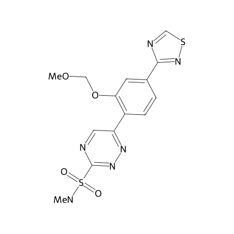 CNS(=O)(=O)c1ncc(-c2ccc(-c3ncsn3)cc2OCOC)nn1